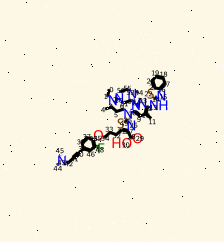 CCN(C(C)CCN(c1cc(C)c(Nc2nc3ccccc3s2)nn1)c1nc(C(=O)O)c(CCCOc2ccc(C#CCN(C)C)cc2F)s1)N1CCN(C)CC1